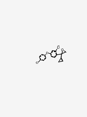 Clc1ccc(Oc2ccc(C3(C4CC4)CO3)c(Cl)c2)cc1